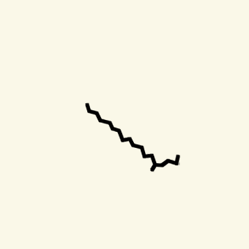 C[CH]CCC(C)CCCCCCCCCCCCC